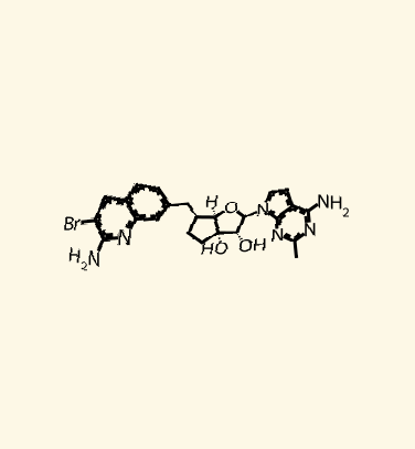 Cc1nc(N)c2ccn([C@@H]3O[C@@H]4[C@H](Cc5ccc6cc(Br)c(N)nc6c5)CC[C@]4(O)[C@H]3O)c2n1